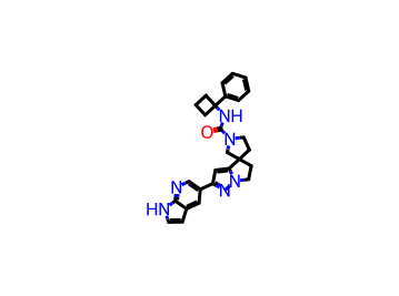 O=C(NC1(c2ccccc2)CCC1)N1CCC2(CCn3nc(-c4cnc5[nH]ccc5c4)cc32)C1